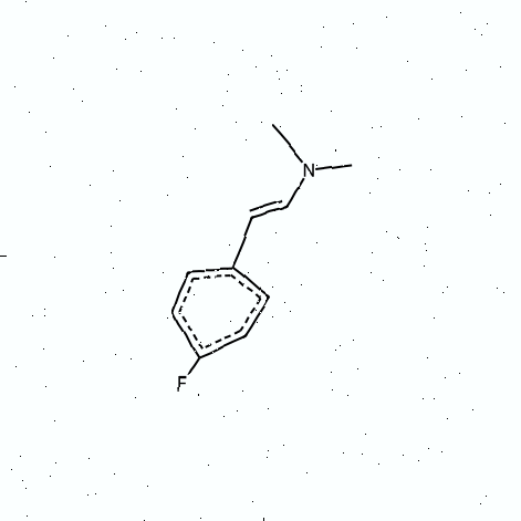 CN(C)/C=C/c1ccc(F)cc1